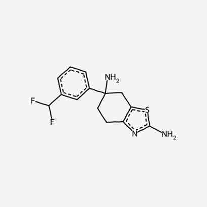 Nc1nc2c(s1)CC(N)(c1cccc(C(F)F)c1)CC2